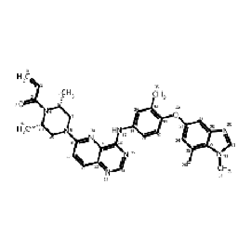 C=CC(=O)N1[C@H](C)CN(c2ccc3ncnc(Nc4ccc(Oc5cc(F)c6c(c5)ncn6C)c(C)c4)c3n2)C[C@@H]1C